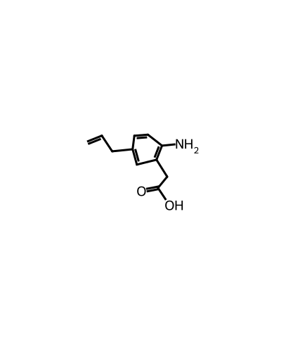 C=CCc1ccc(N)c(CC(=O)O)c1